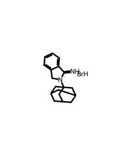 Br.N=C1c2ccccc2CN1C12CC3CC(CC(C3)C1)C2